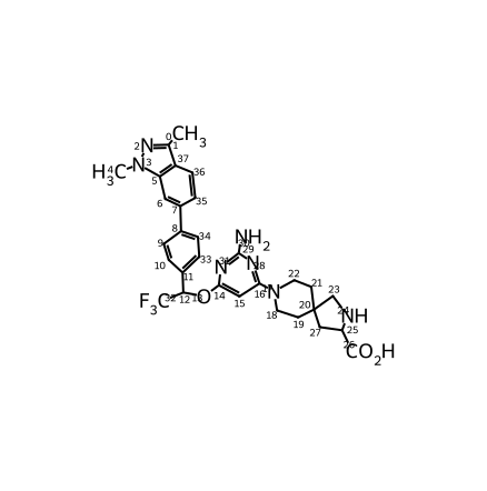 Cc1nn(C)c2cc(-c3ccc(C(Oc4cc(N5CCC6(CC5)CNC(C(=O)O)C6)nc(N)n4)C(F)(F)F)cc3)ccc12